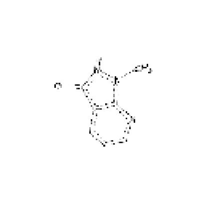 Cn1[nH]c(=O)c2cccnc21